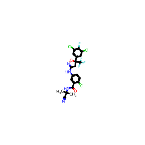 CC(C)(C#N)NC(=O)c1cc(NC2=NOC(c3cc(Cl)c(F)c(Cl)c3)(C(F)(F)F)C2)ccc1Cl